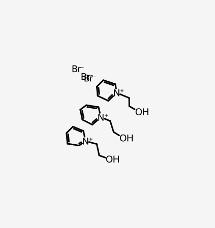 OCC[n+]1ccccc1.OCC[n+]1ccccc1.OCC[n+]1ccccc1.[Br-].[Br-].[Br-]